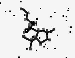 CCCNC(=O)C1CC(C)CCC1C(C)C